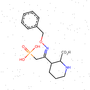 O=C(O)C1NCCCC1C(CP(=O)(O)O)=NOCc1ccccc1